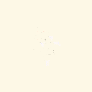 Cc1nc(N)c(-c2ccc3c(c2)CCNC3)c(N2CCC(C)(C)CC2)c1[C@H](OC(C)(C)C)C(=O)OC(C)C